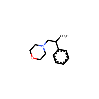 O=C(O)C(CN1CCOCC1)c1ccccc1